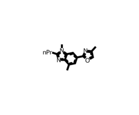 CCCc1nc2c(C)cc(-c3nc(C)co3)cc2n1C